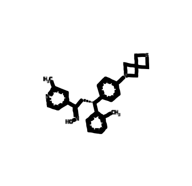 Cc1cc(C(C[C@H](c2ccc(N3CC4(CSC4)C3)cc2)c2ccccc2C)=NO)ccn1